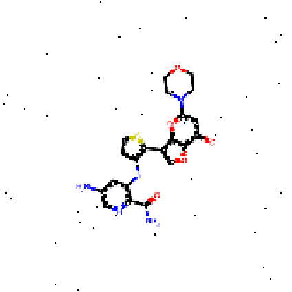 NC(=O)c1ncc(N)cc1Nc1ccsc1-c1coc2c(=O)cc(N3CCOCC3)oc12